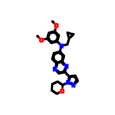 COc1cc(OC)cc(N(CC2CC2)c2ccc3ncc(-c4ccnn4C4CCCCO4)nc3c2)c1